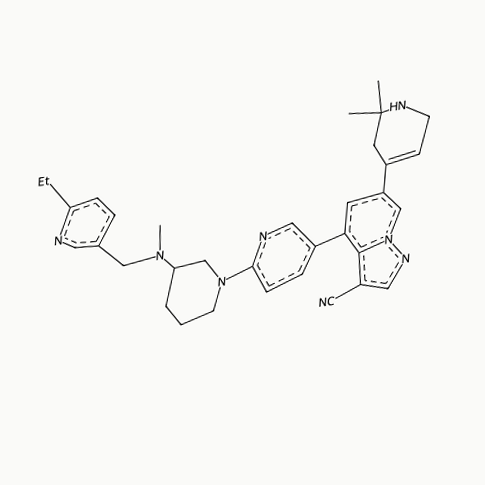 CCc1ccc(CN(C)C2CCCN(c3ccc(-c4cc(C5=CCNC(C)(C)C5)cn5ncc(C#N)c45)cn3)C2)cn1